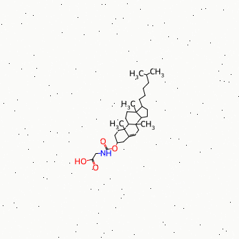 CC(C)CCCCC1CCC2C1(C)CCC1C3(C)CCC(OC(=O)NCC(=O)O)CC3=CCC12C